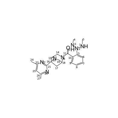 CNN(NC)c1ccccc1C(=O)N1CC2CCC1CN2c1nc(C)cc(C)n1